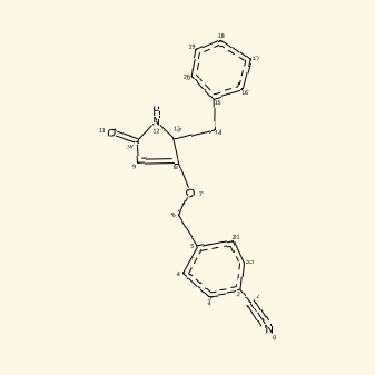 N#Cc1ccc(COC2=CC(=O)NC2Cc2ccccc2)cc1